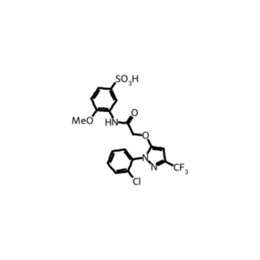 COc1ccc(S(=O)(=O)O)cc1NC(=O)COc1cc(C(F)(F)F)nn1-c1ccccc1Cl